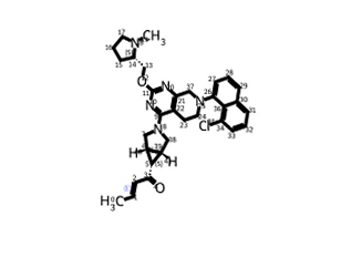 C/C=C/C(=O)[C@@H]1[C@@H]2CN(c3nc(OC[C@@H]4CCCN4C)nc4c3CCN(c3cccc5cccc(Cl)c35)C4)C[C@@H]21